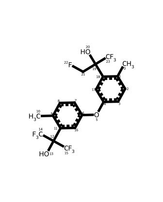 Cc1ccc(Oc2ccc(C)c(C(O)(C(F)(F)F)C(F)(F)F)c2)cc1C(O)(CF)C(F)(F)F